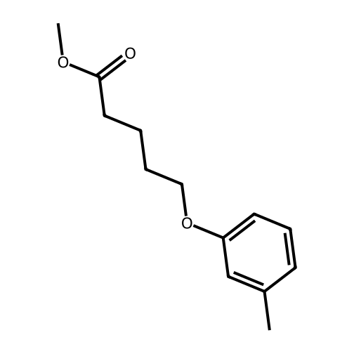 COC(=O)CCCCOc1cccc(C)c1